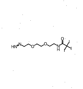 N=NCCOCCOCCNC(=O)C(I)(I)I